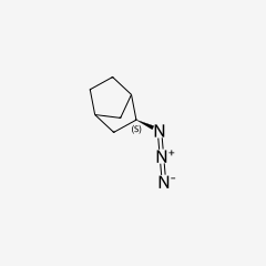 [N-]=[N+]=N[C@H]1CC2CCC1C2